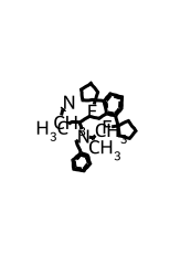 CC#N.CCC(CCc1c(C2(F)CCCC2)cccc1C1(F)CCCC1)N(Cc1ccccc1)C(C)C